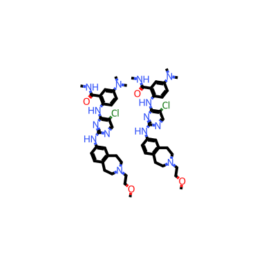 CNC(=O)c1cc(N(C)C)ccc1Nc1nc(Nc2ccc3c(c2)CCN(CCOC)CC3)ncc1Cl.CNC(=O)c1cc(N(C)C)ccc1Nc1nc(Nc2ccc3c(c2)CCN(CCOC)CC3)ncc1Cl